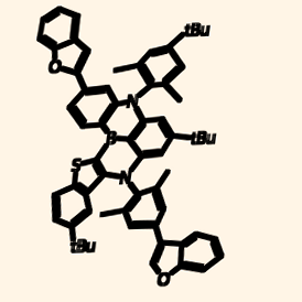 Cc1cc(C(C)(C)C)cc(C)c1N1c2cc(-c3cc4ccccc4o3)ccc2B2c3sc4ccc(C(C)(C)C)cc4c3N(c3c(C)cc(-c4coc5ccccc45)cc3C)c3cc(C(C)(C)C)cc1c32